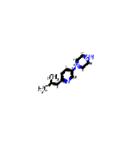 CC(C)Cc1ccc(N2CCNCC2)cn1